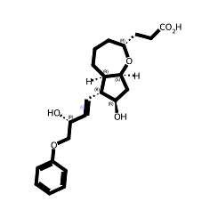 O=C(O)CC[C@H]1CCC[C@@H]2[C@@H](/C=C/[C@@H](O)COc3ccccc3)[C@H](O)C[C@@H]2O1